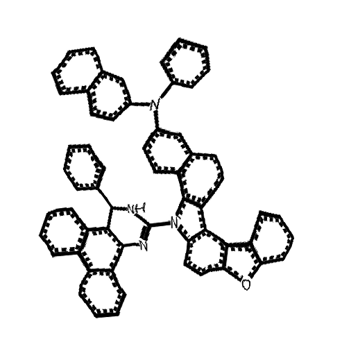 c1ccc(C2NC(n3c4ccc5oc6ccccc6c5c4c4ccc5cc(N(c6ccccc6)c6ccc7ccccc7c6)ccc5c43)=Nc3c2c2ccccc2c2ccccc32)cc1